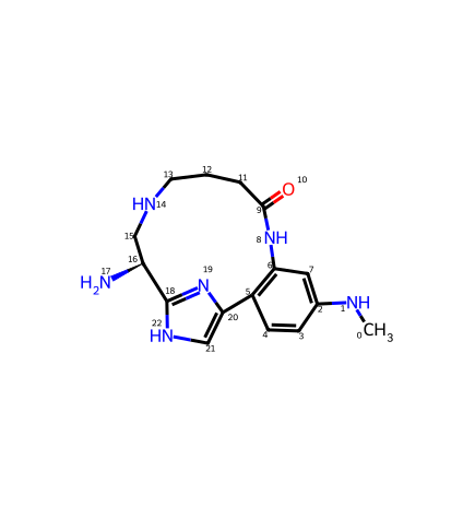 CNc1ccc2c(c1)NC(=O)CCCNC[C@H](N)c1nc-2c[nH]1